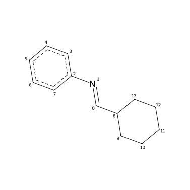 C(=Nc1ccccc1)C1CCCCC1